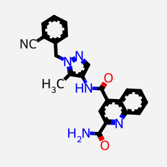 Cc1c(NC(=O)c2cc(C(N)=O)nc3ccccc23)cnn1Cc1ccccc1C#N